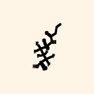 CCCC(=O)NS(=O)(=O)C(F)(F)C(F)(F)C(F)(F)S(=O)(=O)O